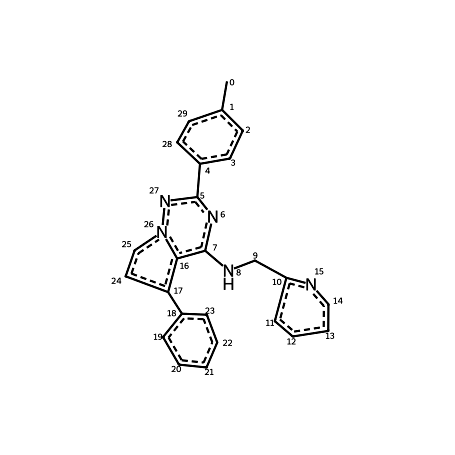 Cc1ccc(-c2nc(NCc3ccccn3)c3c(-c4ccccc4)ccn3n2)cc1